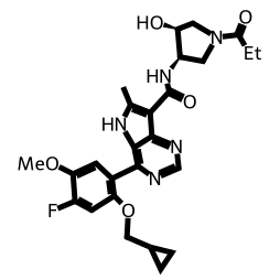 CCC(=O)N1C[C@H](O)[C@H](NC(=O)c2c(C)[nH]c3c(-c4cc(OC)c(F)cc4OCC4CC4)ncnc23)C1